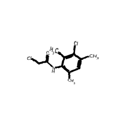 Cc1cc(C)c(NC(=O)CCl)c(C)c1Cl